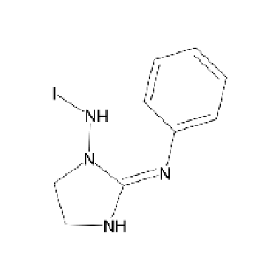 INN1CCNC1=Nc1ccccc1